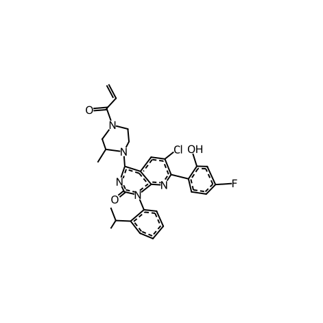 C=CC(=O)N1CCN(c2nc(=O)n(-c3ccccc3C(C)C)c3nc(-c4ccc(F)cc4O)c(Cl)cc23)C(C)C1